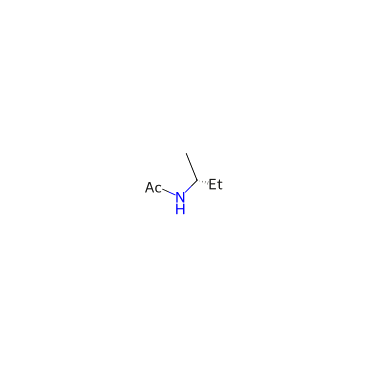 CC[C@@H](C)NC(C)=O